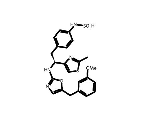 COc1cccc(Cc2cnc(N[C@@H](Cc3ccc(NS(=O)(=O)O)cc3)c3csc(C)n3)o2)c1